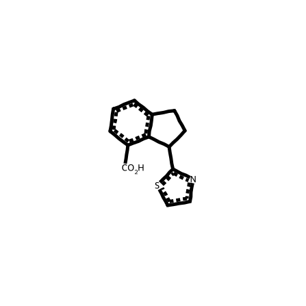 O=C(O)c1cccc2c1C(c1nccs1)CC2